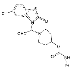 CCNC(=O)OC1CCN(C(C=O)n2c(=O)sc3ccc(Cl)cc32)CC1